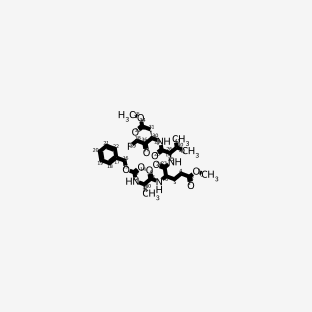 COC(=O)CCC(NC(=O)[C@H](C)NC(=O)OCc1ccccc1)C(=O)N[C@H](C(=O)N[C@@H](CC(=O)OC)C(=O)CF)C(C)C